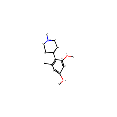 COc1cc(C)c(C2CCN(C)CC2)c(OC)c1